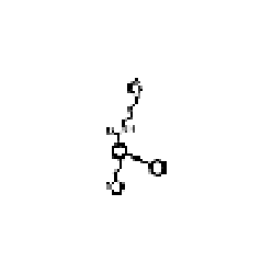 O=C(NCCCCn1ccnc1)c1ccc(CCC2C=CC=N2)c(C#Cc2ccccc2)c1